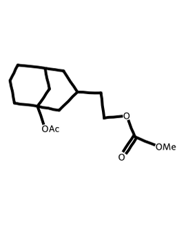 COC(=O)OCCC1CC2CCCC(OC(C)=O)(C2)C1